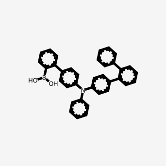 OB(O)c1ccccc1-c1ccc(N(c2ccccc2)c2ccc(-c3ccccc3-c3ccccc3)cc2)cc1